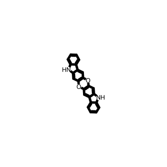 c1ccc2c(c1)[nH]c1cc3c(cc12)Oc1cc2[nH]c4ccccc4c2cc1O3